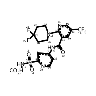 O=C(O)NS(=O)(=O)c1cc(NC(=O)c2cc(C(F)(F)F)cnc2N2CCC(F)(F)CC2)ccn1